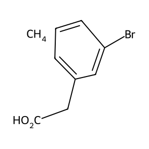 C.O=C(O)Cc1cccc(Br)c1